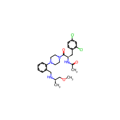 COC[C@@H](C)NCc1ccccc1N1CCN(C(=O)[C@@H](Cc2ccc(Cl)cc2Cl)NC(C)=O)CC1